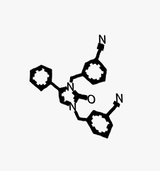 N#Cc1cccc(Cn2cc(-c3ccccc3)n(Cc3cccc(C#N)c3)c2=O)c1